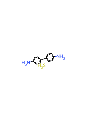 Nc1ccc(-c2ccc(N)cc2)cc1.S